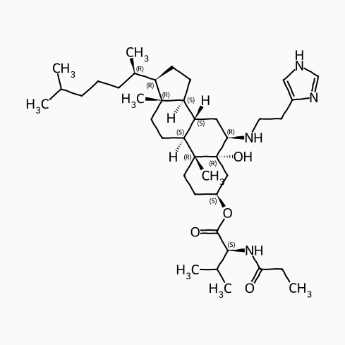 CCC(=O)N[C@H](C(=O)O[C@H]1CC[C@]2(C)[C@H]3CC[C@]4(C)[C@@H]([C@H](C)CCCC(C)C)CC[C@H]4[C@@H]3C[C@@H](NCCc3c[nH]cn3)[C@@]2(O)C1)C(C)C